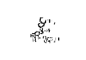 Cc1cc(-n2c(C(C)C)c([C@H]3C[C@](O)(C(=O)O)C3)c3c(F)c4[nH]ncc4cc32)ccc1F